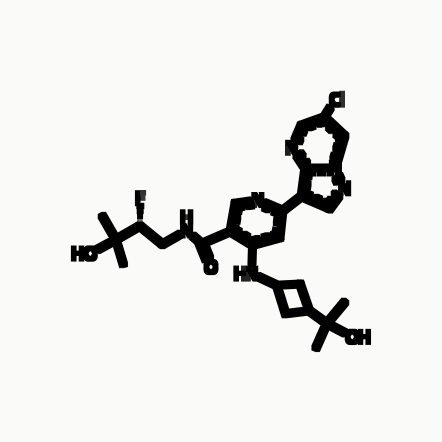 CC(C)(O)C1CC(Nc2cc(-c3cnn4cc(Cl)cnc34)ncc2C(=O)NC[C@@H](F)C(C)(C)O)C1